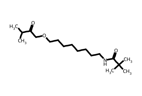 CC(C)C(=O)COCCCCCCCCNC(=O)C(C)(C)C